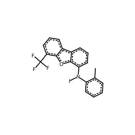 Cc1ccccc1N(I)c1cccc2c1oc1c(C(F)(F)F)cccc12